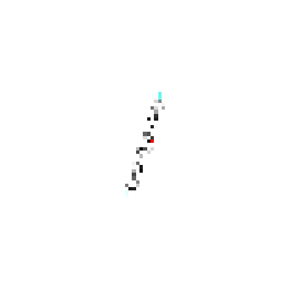 Fc1ccc(-c2ccc(-c3ccc4c(ccc5cc(-c6ccc(-c7ccc(F)cc7)cc6)ccc54)c3)cc2)cc1